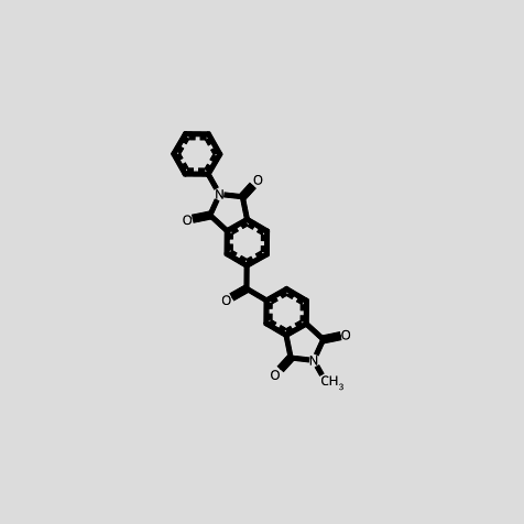 CN1C(=O)c2ccc(C(=O)c3ccc4c(c3)C(=O)N(c3ccccc3)C4=O)cc2C1=O